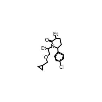 CCC1CCC(c2ccc(Cl)cc2)N(C(CC)COCC2CC2)C1=O